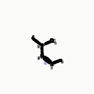 C/N=N\[S+](C)[O-]